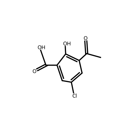 CC(=O)c1cc(Cl)cc(C(=O)O)c1O